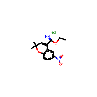 CCOC(=N)C1=CC(C)(C)Oc2ccc([N+](=O)[O-])cc21.Cl